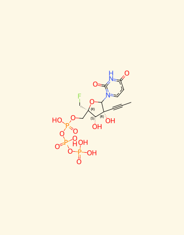 CC#C[C@]1(O)C(n2ccc(=O)[nH]c2=O)O[C@](CF)(COP(=O)(O)OP(=O)(O)OP(=O)(O)O)[C@H]1O